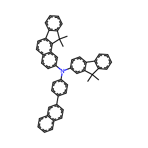 CC1(C)c2ccccc2-c2ccc(N(c3ccc(-c4ccc5ccccc5c4)cc3)c3ccc4ccc5c(c4c3)C(C)(C)c3ccccc3-5)cc21